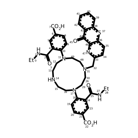 CCNC(=O)c1cc(C(=O)O)ccc1N1CCNCCN(c2ccc(C(=O)O)cc2C(=O)NCC)CCN(Cc2ccc3sc4ccccc4c(=O)c3n2)CC1